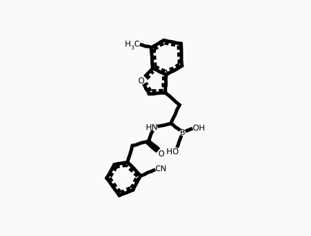 Cc1cccc2c(CC(NC(=O)Cc3ccccc3C#N)B(O)O)coc12